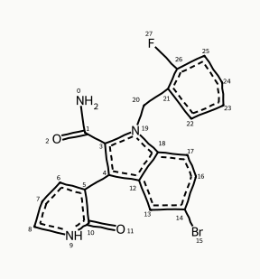 NC(=O)c1c(-c2ccc[nH]c2=O)c2cc(Br)ccc2n1Cc1ccccc1F